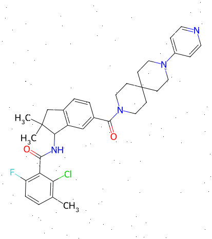 Cc1ccc(F)c(C(=O)NC2c3cc(C(=O)N4CCC5(CC4)CCN(c4ccncc4)CC5)ccc3CC2(C)C)c1Cl